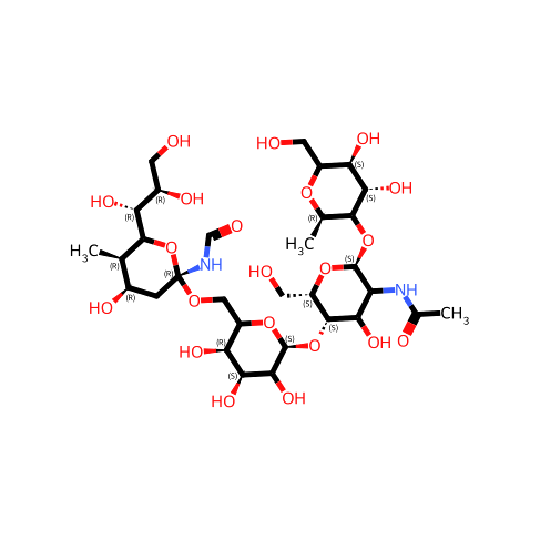 CC(=O)NC1C(O)[C@H](O[C@@H]2OC(CO[C@]3(NC=O)C[C@@H](O)[C@@H](C)C([C@H](O)[C@H](O)CO)O3)[C@H](O)[C@H](O)C2O)[C@H](CO)O[C@H]1OC1[C@@H](O)[C@H](O)C(CO)O[C@@H]1C